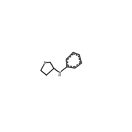 c1ccc(NC2CC[N]C2)cc1